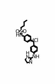 CCCCS(=O)(=O)Nc1ccc(Cc2ccc(NC3=NCCN3)cc2)cc1.Cl